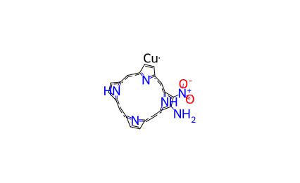 Nc1c([N+](=O)[O-])c2cc3nc(cc4ccc(cc5nc(cc1[nH]2)C=C5)[nH]4)C=C3.[Cu]